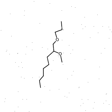 C[CH]COCC(CCCCCC)OC